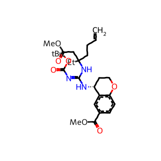 C=CCCC(CC)(CC(=O)OC)N/C(=N\C(=O)OC(C)(C)C)N[C@@H]1CCOc2ccc(C(=O)OC)cc21